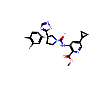 COC(=O)c1ncc(C2CC2)cc1NC(=O)N1CC[C@](c2ccc(C)c(F)c2)(c2ncns2)C1